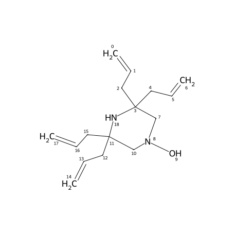 C=CCC1(CC=C)CN(O)CC(CC=C)(CC=C)N1